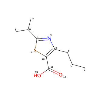 CCCc1nc(C(C)C)sc1C(=O)O